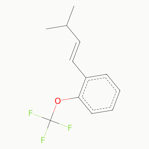 CC(C)/C=C/c1ccccc1OC(F)(F)F